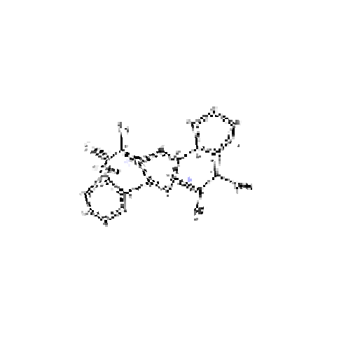 [C-]#[N+]/C(C(=O)OC)=c1\cc(-c2ccccc2)/c(=C(/C#N)C(=O)OC)cc1-c1ccccc1